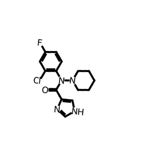 O=C(c1c[nH]cn1)N(c1ccc(F)cc1Cl)N1CCCCC1